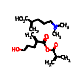 C=C(C)C(=O)OC(=O)C(=C)CCCO.C=C(CCCN(C)C)C(=O)O